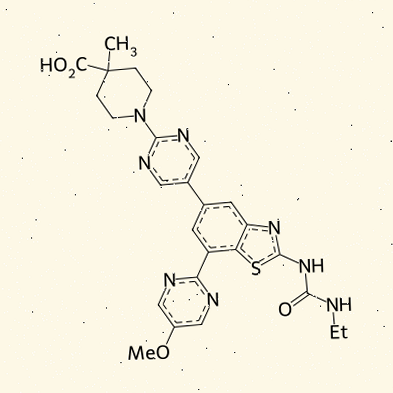 CCNC(=O)Nc1nc2cc(-c3cnc(N4CCC(C)(C(=O)O)CC4)nc3)cc(-c3ncc(OC)cn3)c2s1